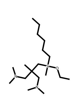 CCCCCC[Si](C)(CC(C)(CN(C)C)CN(C)C)OCC